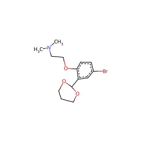 CN(C)CCOc1ccc(Br)cc1C1OCCCO1